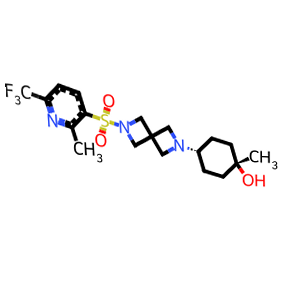 Cc1nc(C(F)(F)F)ccc1S(=O)(=O)N1CC2(C1)CN([C@H]1CC[C@@](C)(O)CC1)C2